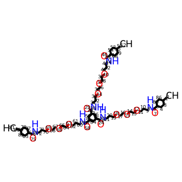 C#CC1CCC(C(=O)NCCCOCCOCCOCCCNC(=O)c2cc(C(=O)NCCCOCCOCCOCCCNC(=O)C3CCC(C#C)CC3)cc(C(=O)NCCCOCCOCCOCCCNC(=O)C3CCC(C#C)CC3)c2)CC1